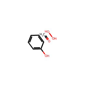 C=O.OO.Oc1ccccc1